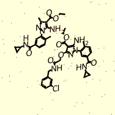 CCOC(=O)c1c(C)nn(-c2cc(C(=O)NC3CC3)ccc2C)c1N.CCOC(=O)c1c(OCC(=O)NCc2cccc(Cl)c2)nn(-c2cc(C(=O)NC3CC3)ccc2C)c1N